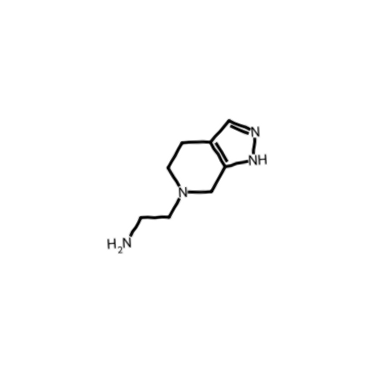 NCCN1CCc2cn[nH]c2C1